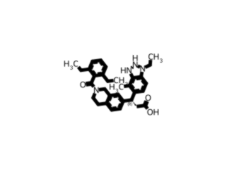 CCc1cccc(CC)c1C(=O)N1CCc2ccc([C@@H](CC(=O)O)c3ccc4c(c3C)NNN4CC)cc2C1